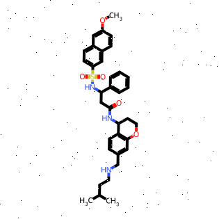 COc1ccc2cc(S(=O)(=O)NC(CC(=O)NC3CCOc4cc(CNCCC(C)C)ccc43)c3ccccc3)ccc2c1